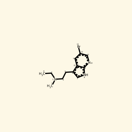 CCN(C)CCc1c[nH]c2ncc(Br)cc12